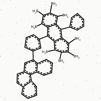 Bc1c(B)c(B)c2c(-c3cccc(-c4cc5ccc6ccccc6c5c5ccccc45)c3)c3c(B)c(B)c(B)c(B)c3c(-c3ccccc3)c2c1B